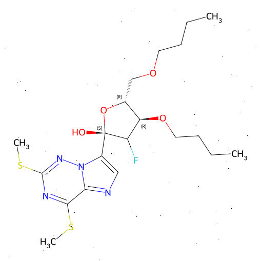 CCCCOC[C@H]1O[C@@](O)(c2cnc3c(SC)nc(SC)nn23)C(F)[C@@H]1OCCCC